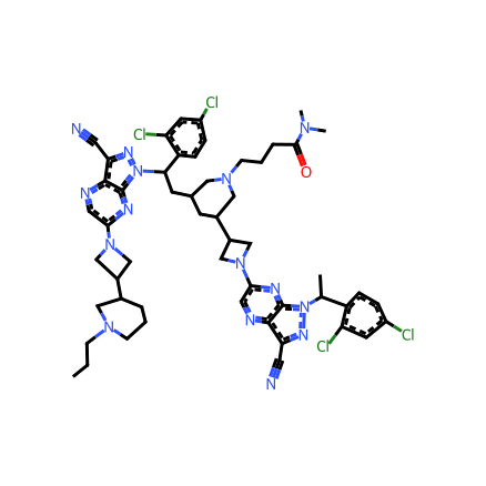 CCCN1CCCC(C2CN(c3cnc4c(C#N)nn(C(CC5CC(C6CN(c7cnc8c(C#N)nn(C(C)c9ccc(Cl)cc9Cl)c8n7)C6)CN(CCCC(=O)N(C)C)C5)c5ccc(Cl)cc5Cl)c4n3)C2)C1